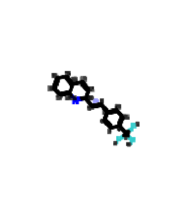 FC(F)(F)c1ccc(/C=C/c2ccc3ccccc3n2)cc1